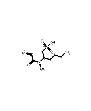 C=CC(=O)N(C)C(CCCC)CS(=O)(=O)O